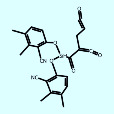 Cc1ccc(O[SiH](Oc2ccc(C)c(C)c2C#N)C(=O)C(=C=O)CC=C=O)c(C#N)c1C